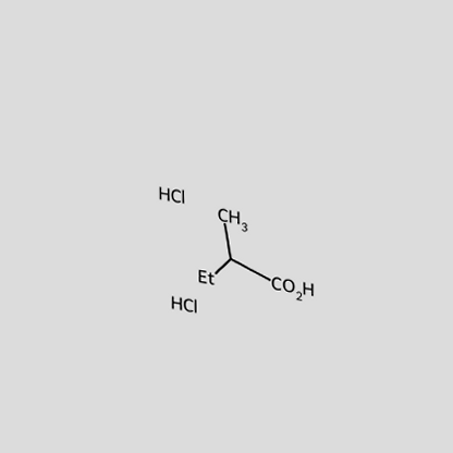 CCC(C)C(=O)O.Cl.Cl